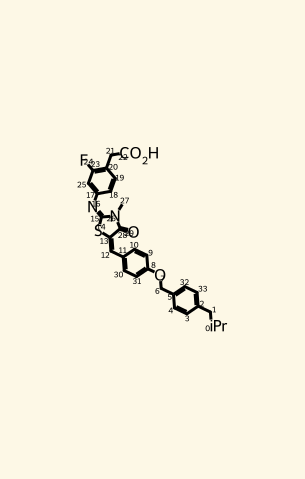 CC(C)Cc1ccc(COc2ccc(C=C3SC(=Nc4ccc(CC(=O)O)c(F)c4)N(C)C3=O)cc2)cc1